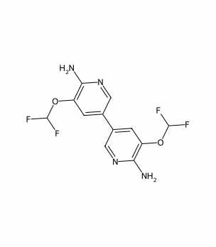 Nc1ncc(-c2cnc(N)c(OC(F)F)c2)cc1OC(F)F